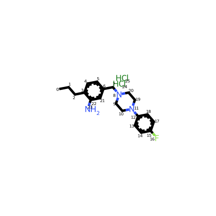 CCCc1ccc(CN2CCN(c3ccc(F)cc3)CC2)cc1N.Cl.Cl